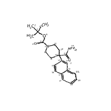 CC(C)(C)OC(=O)N1CCC(C(N)=O)(c2ccc3ccccc3c2)CC1